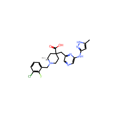 Cc1cc(Nc2cncc(CC3(C(=O)O)CCN(Cc4cccc(Cl)c4F)[C@H](C)C3)n2)n[nH]1